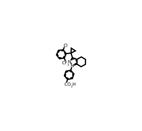 O=C(O)c1ccc(-n2nc(C3(c4c(Cl)cccc4C(F)(F)F)CC3)c3c2CCCC3)cc1